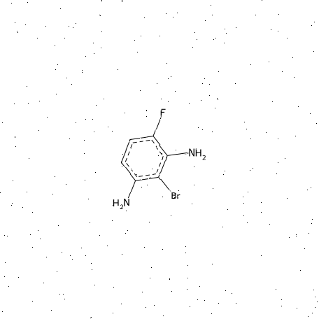 Nc1ccc(F)c(N)c1Br